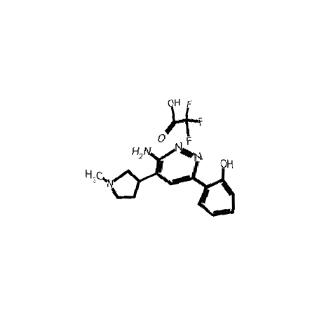 CN1CCC(c2cc(-c3ccccc3O)nnc2N)C1.O=C(O)C(F)(F)F